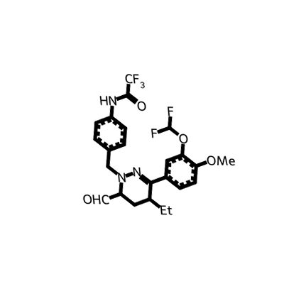 CCC1CC(C=O)N(Cc2ccc(NC(=O)C(F)(F)F)cc2)N=C1c1ccc(OC)c(OC(F)F)c1